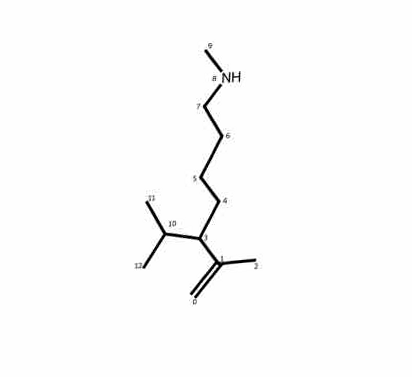 C=C(C)C(CCCCNC)C(C)C